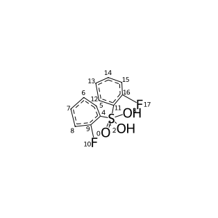 O=S(O)(O)(c1ccccc1F)c1ccccc1F